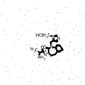 CC(N)C(=O)N[C@H]1CCc2ccccc2N(Cc2cncn2C)C1=O.Cl